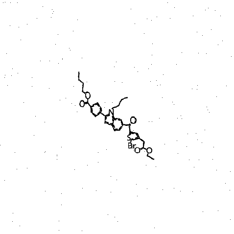 CCCCOC(=O)c1ccc(-c2cc3ccc(C(=O)c4cc(CC(=O)OCC)c(Br)s4)cc3n2CCCC)cc1